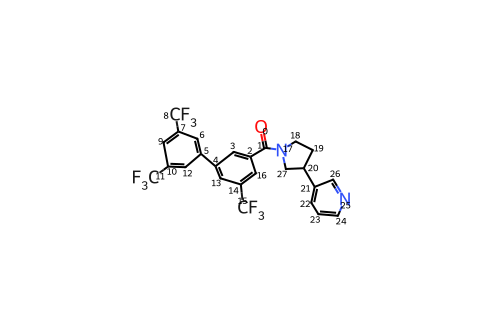 O=C(c1cc(-c2cc(C(F)(F)F)cc(C(F)(F)F)c2)cc(C(F)(F)F)c1)N1CCC(c2cccnc2)C1